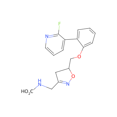 O=C(O)NCC1=NOC(COc2ccccc2-c2cccnc2F)C1